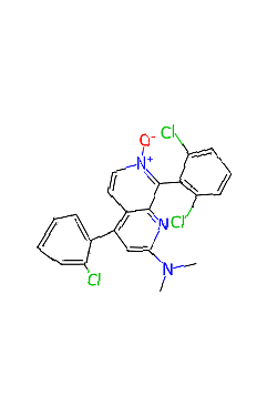 CN(C)c1cc(-c2ccccc2Cl)c2cc[n+]([O-])c(-c3c(Cl)cccc3Cl)c2n1